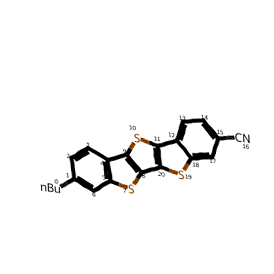 CCCCc1ccc2c(c1)sc1c2sc2c3ccc(C#N)cc3sc21